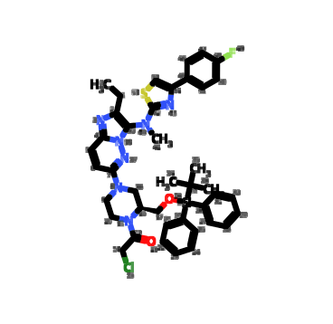 CCc1nc2ccc(N3CCN(C(=O)CCl)[C@H](CO[Si](c4ccccc4)(c4ccccc4)C(C)(C)C)C3)nn2c1N(C)c1nc(-c2ccc(F)cc2)cs1